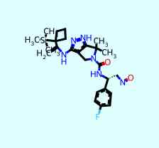 C=C(Nc1n[nH]c2c1CN(C(=O)N[C@H](CN=O)c1ccc(F)cc1)C2(C)C)C1([Si](C)(C)C)CCC1